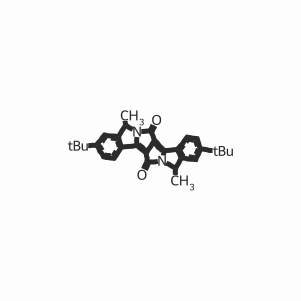 CC1c2cc(C(C)(C)C)ccc2C2=C3C(=O)N4C(=C3C(=O)N21)c1ccc(C(C)(C)C)cc1C4C